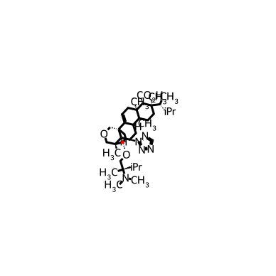 CC(C)[C@@H](C)[C@@]1(C)CC[C@]2(C)[C@H]3CC[C@@H]4[C@@]5(COC[C@@]4(C)[C@@H](OC[C@](C)(C(C)C)N(C)C)[C@H](n4ncnn4)C5)C3=CC[C@@]2(C)[C@@H]1C(=O)O